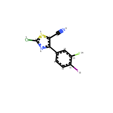 N#Cc1sc(Cl)nc1-c1ccc(I)c(F)c1